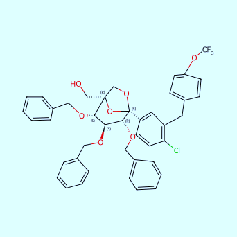 OC[C@]12CO[C@](c3ccc(Cl)c(Cc4ccc(OC(F)(F)F)cc4)c3)(O1)[C@H](OCc1ccccc1)[C@@H](OCc1ccccc1)[C@@H]2OCc1ccccc1